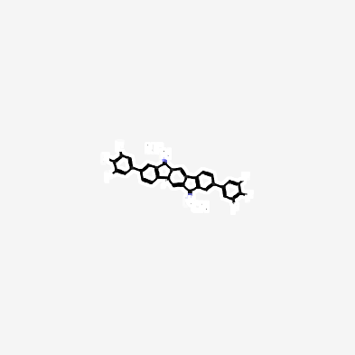 C[C@@]12C=C3C(=CC1/C(=N/C#N)c1cc(-c4cc(F)c(F)c(F)c4)ccc12)c1ccc(-c2cc(F)c(F)c(F)c2)cc1/C3=N\C#N